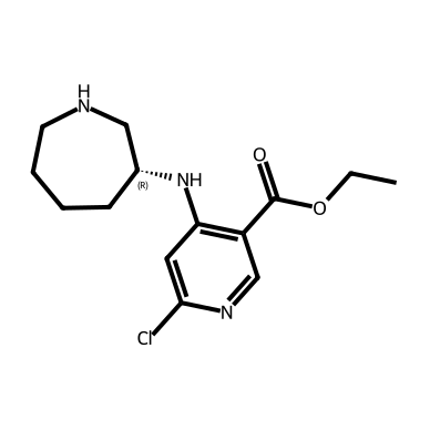 CCOC(=O)c1cnc(Cl)cc1N[C@@H]1CCCCNC1